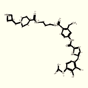 CCc1cc(NC(=O)c2ncc(Cc3ccc(OC(F)F)c(F)c3F)[nH]2)ccc1C(=O)NCCCNC(=O)C1CCN(CC2CNC2)CC1